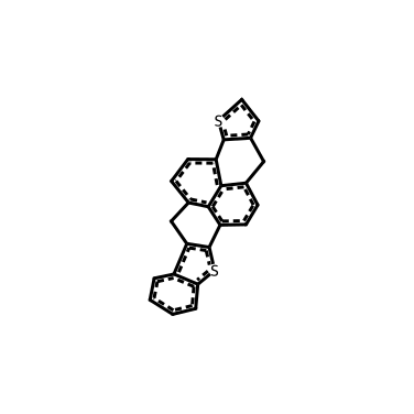 c1ccc2c3c(sc2c1)-c1ccc2c4c(ccc(c14)C3)-c1sccc1C2